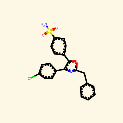 NS(=O)(=O)c1ccc(-c2oc(Cc3ccccc3)nc2-c2ccc(Cl)cc2)cc1